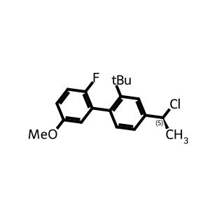 COc1ccc(F)c(-c2ccc([C@H](C)Cl)cc2C(C)(C)C)c1